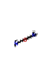 CCN(CC)CCCCC=COC=CCCCCN(CC)CC